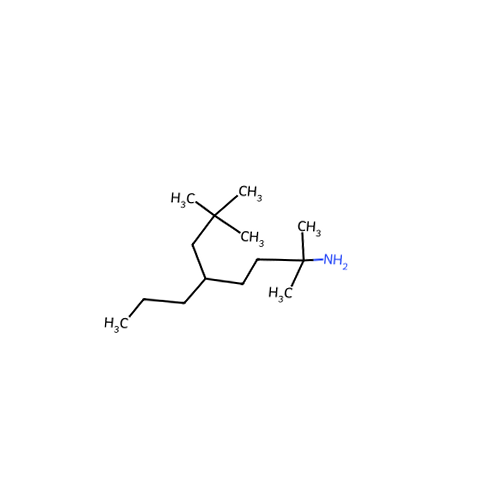 CCCC(CCC(C)(C)N)CC(C)(C)C